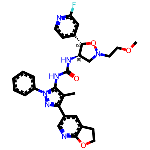 COCCN1C[C@@H](NC(=O)Nc2c(C)c(-c3cnc4c(c3)CCO4)nn2-c2ccccc2)[C@H](c2ccnc(F)c2)O1